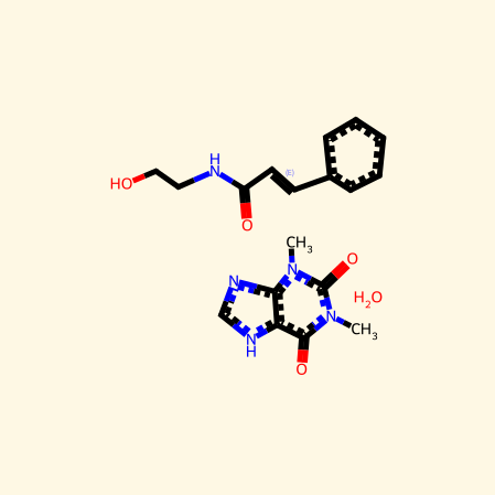 Cn1c(=O)c2[nH]cnc2n(C)c1=O.O.O=C(/C=C/c1ccccc1)NCCO